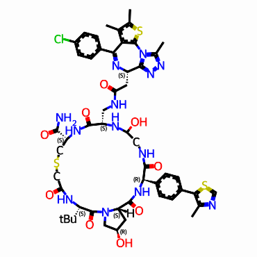 Cc1ncsc1-c1ccc([C@H]2NC(=O)[C@@H]3C[C@@H](O)CN3C(=O)[C@H](C(C)(C)C)NC(=O)CSC[C@H](C(N)=O)NC(=O)[C@H](CNC(=O)C[C@@H]3N=C(c4ccc(Cl)cc4)c4c(sc(C)c4C)-n4c(C)nnc43)NC(O)CNC2=O)cc1